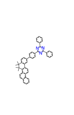 CC1(C)c2ccc(-c3ccc(-c4nc(-c5ccccc5)nc(-c5ccccc5)n4)cc3)cc2-c2ccc3c(ccc4ccccc43)c2C1(C)C